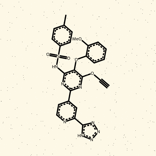 C#COc1nc(-c2ccnc(-c3nnn[nH]3)c2)nc(NS(=O)(=O)c2ccc(C)cc2)c1Oc1ccccc1OC